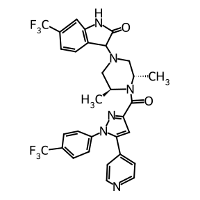 C[C@H]1CN(C2C(=O)Nc3cc(C(F)(F)F)ccc32)C[C@H](C)N1C(=O)c1cc(-c2ccncc2)n(-c2ccc(C(F)(F)F)cc2)n1